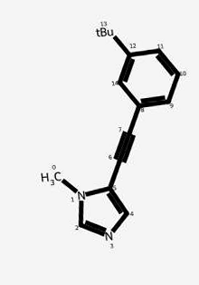 Cn1cncc1C#Cc1cccc(C(C)(C)C)c1